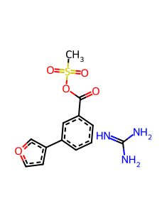 CS(=O)(=O)OC(=O)c1cccc(-c2ccoc2)c1.N=C(N)N